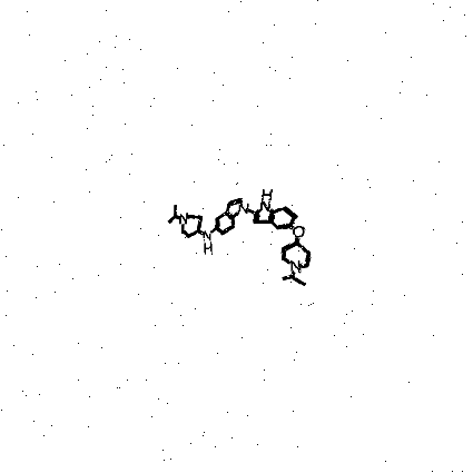 CC(C)N1CCC(Nc2ccc3c(ccn3-c3cc4cc(OC5CCN(C(C)C)CC5)ccc4[nH]3)c2)CC1